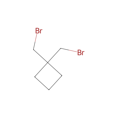 BrCC1(CBr)CCC1